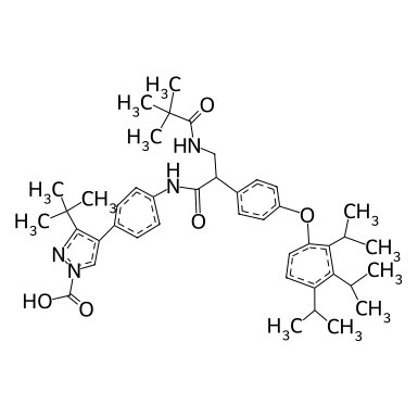 CC(C)c1ccc(Oc2ccc(C(CNC(=O)C(C)(C)C)C(=O)Nc3ccc(-c4cn(C(=O)O)nc4C(C)(C)C)cc3)cc2)c(C(C)C)c1C(C)C